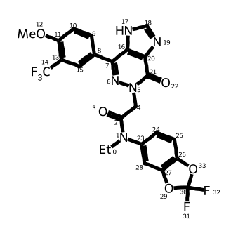 CCN(C(=O)Cn1nc(-c2ccc(OC)c(C(F)(F)F)c2)c2[nH]cnc2c1=O)c1ccc2c(c1)OC(F)(F)O2